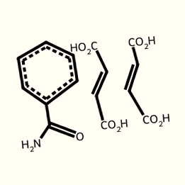 NC(=O)c1ccccc1.O=C(O)/C=C/C(=O)O.O=C(O)/C=C/C(=O)O